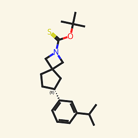 CC(C)c1cccc([C@@H]2CCC3(C2)CN(C(=S)OC(C)(C)C)C3)c1